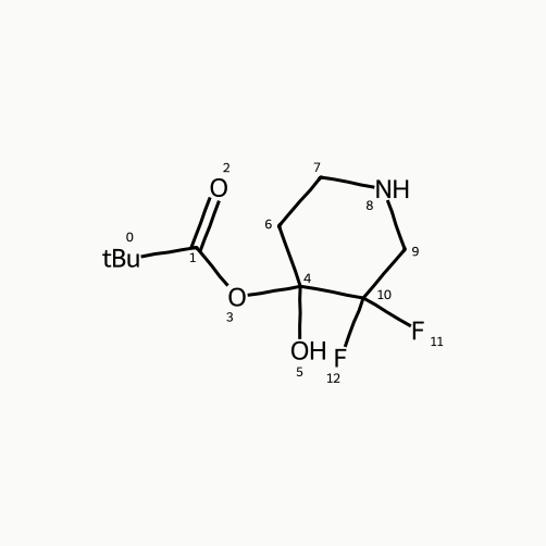 CC(C)(C)C(=O)OC1(O)CCNCC1(F)F